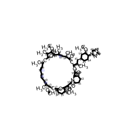 C=C1C2C[C@H](C)/C=C/C=C/C=C(\C)[C@@H](OC)C[C@@H]3CC[C@@H](C)[C@@](O)(O3)C(=O)C(=O)N3CCCC[C@H]3C(=O)O[C@H]([C@H](C)C[C@@H]3CCC(n4cnnn4)[C@H](OC)C3)CC(=O)[C@H](C)/C=C(\C)[C@@H](O2)C1OC